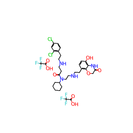 O=C(O)C(F)(F)F.O=C(O)C(F)(F)F.O=C1COc2c(CCNCCN(C(=O)CCNCCc3ccc(Cl)cc3Cl)C3CCCCC3)ccc(O)c2N1